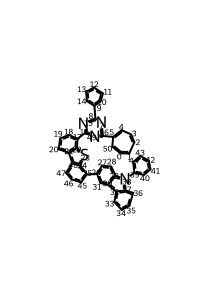 C1=CC=CC=C(c2nc(-c3ccccc3)nc(-c3cccc4c3sc3c(-c5ccc6c(c5)c5ccccc5n6-c5ccccc5)cccc34)n2)C=1